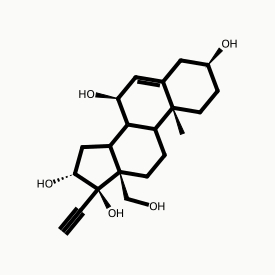 C#C[C@]1(O)[C@H](O)CC2C3C(CC[C@@]21CO)[C@@]1(C)CC[C@H](O)CC1=C[C@@H]3O